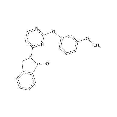 COc1cccc(Oc2nccc(N3Cc4ccccc4[S+]3[O-])n2)c1